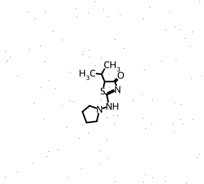 CC(C)C1SC(NN2CCCC2)=NC1=O